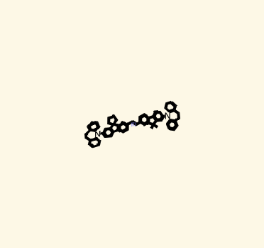 CC1(C)c2cc(/C=C/c3ccc4c(c3)C3(CCCC3)c3cc(N5C6=C(C=CCC6)CCc6ccccc65)ccc3-4)ccc2-c2ccc(N3C4=C(C=CCC4)CCc4ccccc43)cc21